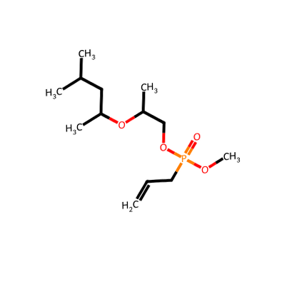 C=CCP(=O)(OC)OCC(C)OC(C)CC(C)C